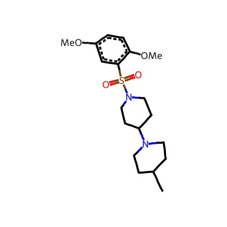 COc1ccc(OC)c(S(=O)(=O)N2CCC(N3CCC(C)CC3)CC2)c1